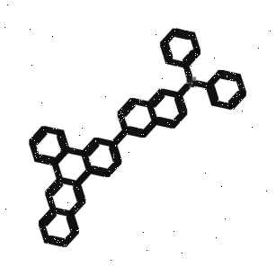 c1ccc(N(c2ccccc2)c2ccc3cc(-c4ccc5c(c4)c4ccccc4c4cc6ccccc6cc54)ccc3c2)cc1